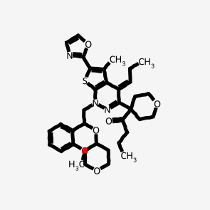 CC/C=C1/C(C2(C(=O)CCC)CCOCC2)=NN(CC(OC2CCOCC2)c2ccccc2OC)c2sc(-c3ncco3)c(C)c21